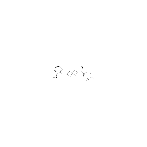 C[C@H](C[C@@H]1NC(=O)N([C@H]2CC3(C[C@H](Oc4ncccc4C(N)=O)C3)C2)C1=O)C(F)(F)F